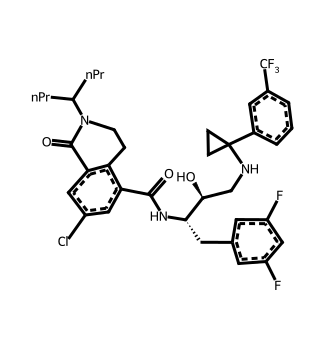 CCCC(CCC)N1CCc2c(C(=O)N[C@@H](Cc3cc(F)cc(F)c3)[C@@H](O)CNC3(c4cccc(C(F)(F)F)c4)CC3)cc(Cl)cc2C1=O